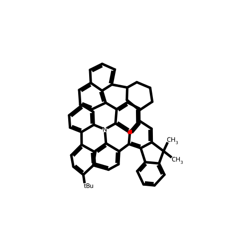 CC(C)(C)c1ccc(-c2ccccc2N(c2ccccc2-c2cccc3c2-c2ccccc2C3(C)C)c2ccccc2-c2cccc3cccc(C4CCCCC4)c23)cc1